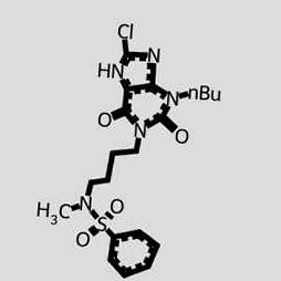 CCCCn1c(=O)n(CCCCN(C)S(=O)(=O)c2ccccc2)c(=O)c2[nH]c(Cl)nc21